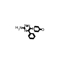 Nc1nnc(-n2ccc(=O)cc2)c(-c2ccccc2)n1